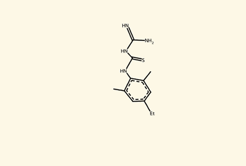 CCc1cc(C)c(NC(=S)NC(=N)N)c(C)c1